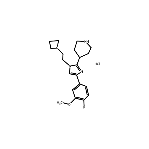 COc1cc(-c2cn(CCN3CCC3)c(C3CCNCC3)n2)ccc1F.Cl